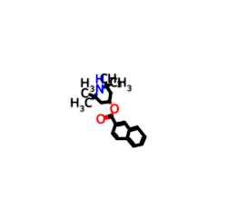 CC1(C)CC(OC(=O)c2ccc3ccccc3c2)CC(C)(C)N1